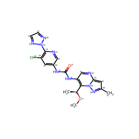 CO[C@@H](C)c1c(NC(=O)Nc2cnc(-n3nccn3)c(Cl)c2)cnc2cc(C)nn12